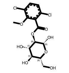 COc1c(Cl)ccc(Cl)c1C(=O)O[C@@H]1[C@@H](O)[C@H](O)[C@@H](CO)O[C@H]1O